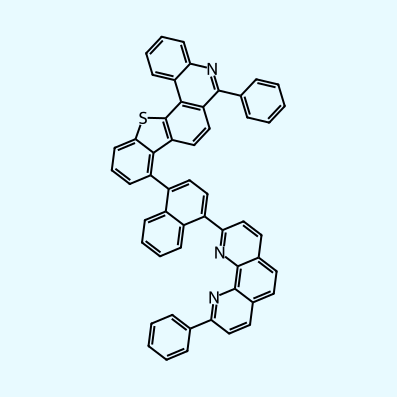 c1ccc(-c2ccc3ccc4ccc(-c5ccc(-c6cccc7sc8c(ccc9c(-c%10ccccc%10)nc%10ccccc%10c98)c67)c6ccccc56)nc4c3n2)cc1